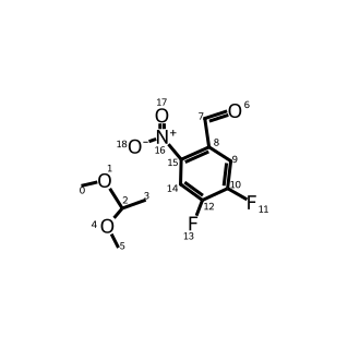 COC(C)OC.O=Cc1cc(F)c(F)cc1[N+](=O)[O-]